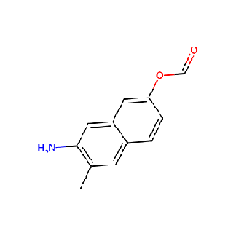 Cc1cc2ccc(OC=O)cc2cc1N